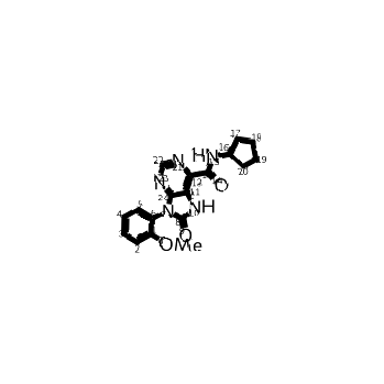 COc1ccccc1-n1c(=O)[nH]c2c(C(=O)NC3CCCC3)ncnc21